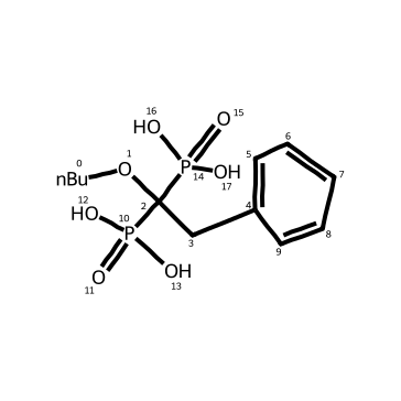 CCCCOC(Cc1ccccc1)(P(=O)(O)O)P(=O)(O)O